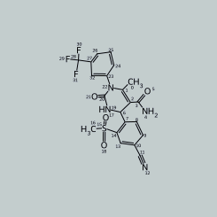 CC1=C(C(N)=O)C(c2ccc(C#N)cc2S(C)(=O)=O)NC(=O)N1c1cccc(C(F)(F)F)c1